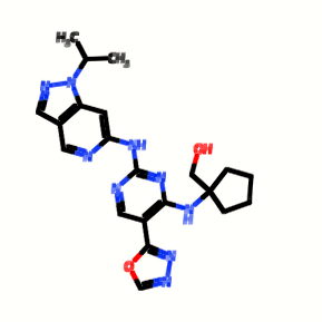 CC(C)n1ncc2cnc(Nc3ncc(-c4nnco4)c(NC4(CO)CCCC4)n3)cc21